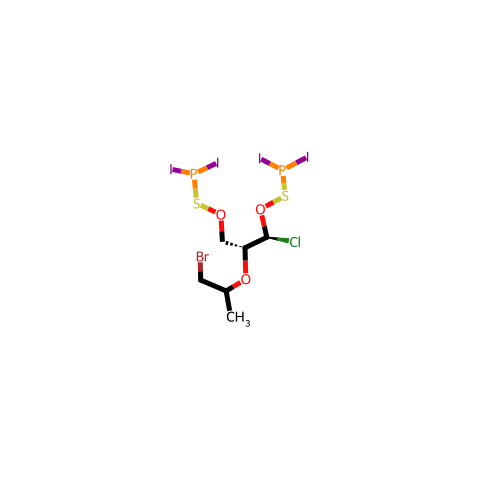 CC(CBr)O[C@H](COSP(I)I)[C@H](Cl)OSP(I)I